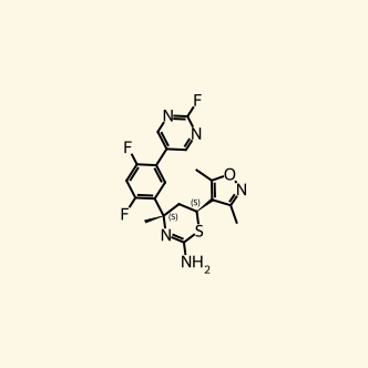 Cc1noc(C)c1[C@@H]1C[C@@](C)(c2cc(-c3cnc(F)nc3)c(F)cc2F)N=C(N)S1